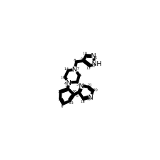 c1ccc(N2CCN(Cc3cn[nH]c3)CC2)c(-c2cnccn2)c1